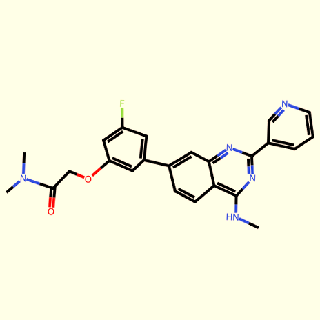 CNc1nc(-c2cccnc2)nc2cc(-c3cc(F)cc(OCC(=O)N(C)C)c3)ccc12